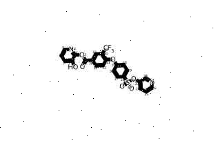 O=C(Oc1ncccc1O)c1ccc(Oc2ccc(S(=O)(=O)Oc3cccnc3)cc2)c(C(F)(F)F)c1